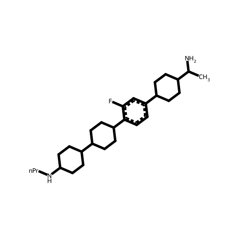 CCCNC1CCC(C2CCC(c3ccc(C4CCC(C(C)N)CC4)cc3F)CC2)CC1